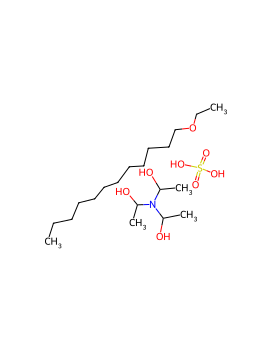 CC(O)N(C(C)O)C(C)O.CCCCCCCCCCCCOCC.O=S(=O)(O)O